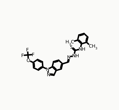 Cc1cccc(C)c1NC(=S)N/N=C/c1ccc2c(cnn2-c2ccc(OC(F)(F)F)cc2)c1